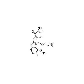 CC(C)Oc1c(F)cnc2cc(Cn3cccc(N)c3=O)n(COCC[Si](C)(C)C)c12